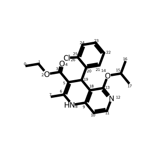 CCOC(=O)C1=C(C)Nc2ccnc(OC(C)C)c2C1c1ccccc1Cl